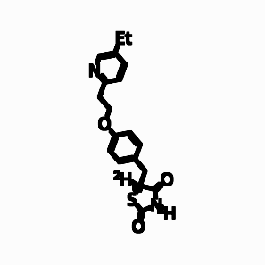 [2H]N1C(=O)S[C@]([2H])(Cc2ccc(OCCc3ccc(CC)cn3)cc2)C1=O